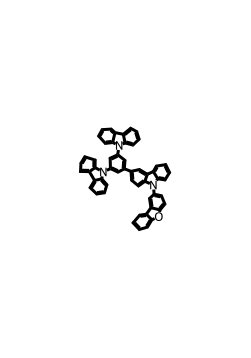 c1ccc2c(c1)oc1ccc(-n3c4ccccc4c4cc(-c5cc(-n6c7ccccc7c7ccccc76)cc(-n6c7ccccc7c7ccccc76)c5)ccc43)cc12